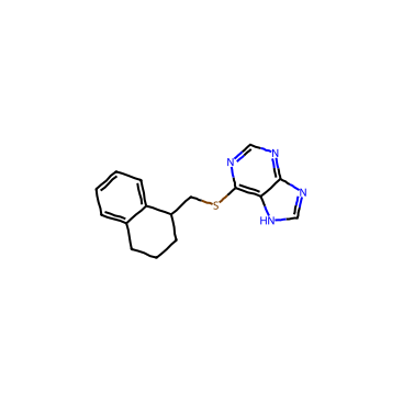 c1ccc2c(c1)CCCC2CSc1ncnc2nc[nH]c12